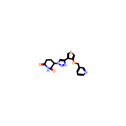 O=C1CCC(n2cc(-c3cscc3OCc3cccnc3)nn2)C(=O)N1